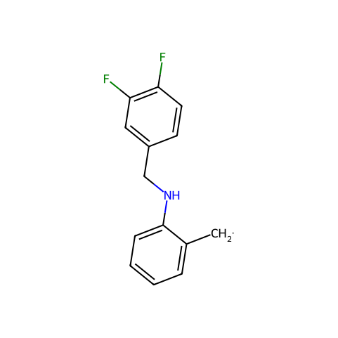 [CH2]c1ccccc1NCc1ccc(F)c(F)c1